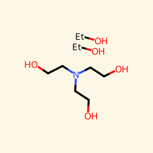 CCO.CCO.OCCN(CCO)CCO